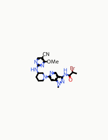 COc1nc(NC2CCCN(c3cc4c(cn3)c(NC(=O)C(C)Br)nn4C)C2)ncc1C#N